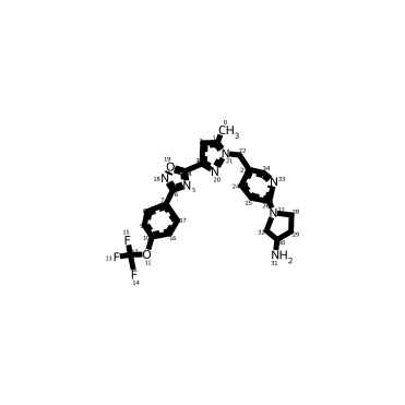 Cc1cc(-c2nc(-c3ccc(OC(F)(F)F)cc3)no2)nn1Cc1ccc(N2CCC(N)C2)nc1